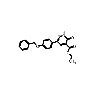 CCOC(=O)c1cc(-c2ccc(OCc3ccccc3)cc2)n[nH]c1=O